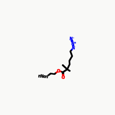 CCCCCCCCCCCOC(=O)C(C)(C)CCCCN=[N+]=[N-]